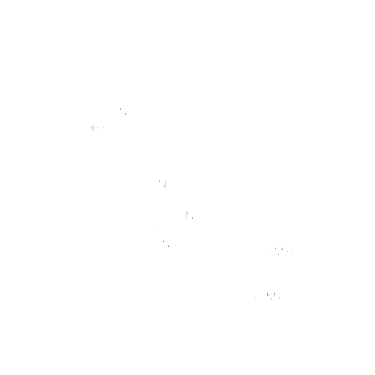 COc1ccc(-c2noc(N3CCC(C4CCCCN4C=O)CC3)n2)cc1OC